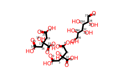 O=C(O)CC(O)(CC(=O)O)C(=O)O.O=C(O)CC(O)(CC(=O)O)C(=O)O.O=C[C@H](O)[C@@H](O)[C@H](O)[C@H](O)CO